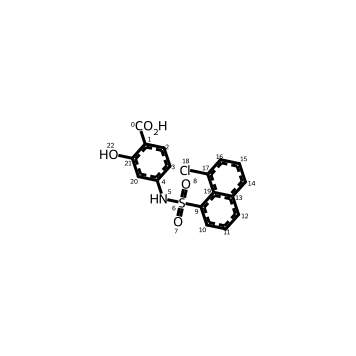 O=C(O)c1ccc(NS(=O)(=O)c2cccc3cccc(Cl)c23)cc1O